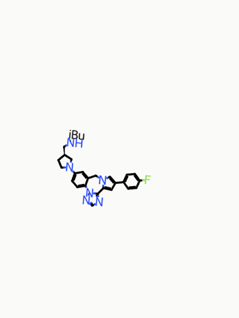 CC[C@@H](C)NC[C@@H]1CCN(c2ccc3c(c2)Cn2cc(-c4ccc(F)cc4)cc2-c2ncnn2-3)C1